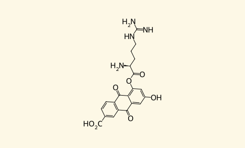 N=C(N)NCCC[C@H](N)C(=O)Oc1cc(O)cc2c1C(=O)c1ccc(C(=O)O)cc1C2=O